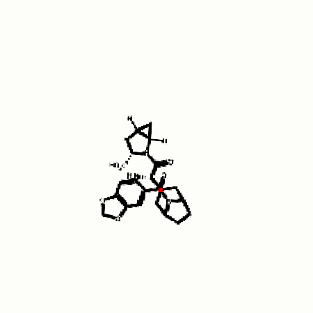 N[C@H](C(=O)N1[C@H](C(=O)O)C[C@@H]2C[C@@H]21)C1CC2CCC(C1)N2C(=O)c1ccc2c(c1)OCO2